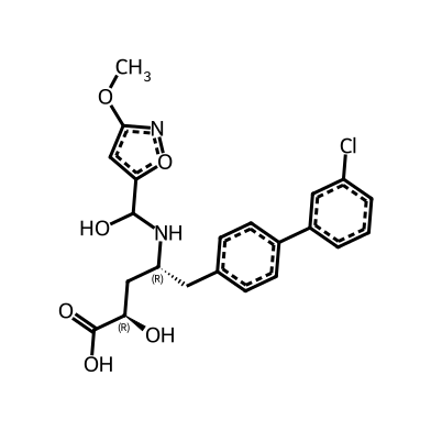 COc1cc(C(O)N[C@H](Cc2ccc(-c3cccc(Cl)c3)cc2)C[C@@H](O)C(=O)O)on1